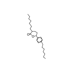 CCCCCCCc1ccc(C2CCC(CCCCCCC)C(=O)O2)cc1